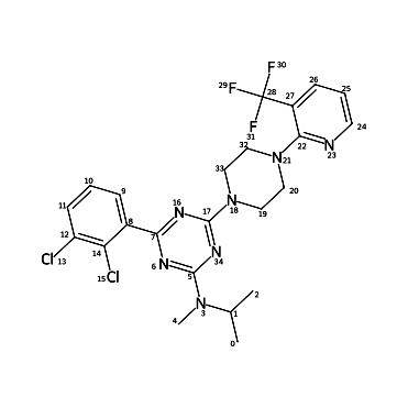 CC(C)N(C)c1nc(-c2cccc(Cl)c2Cl)nc(N2CCN(c3ncccc3C(F)(F)F)CC2)n1